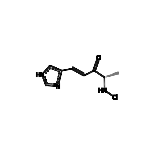 C[C@H](NCl)C(=O)/C=C/c1c[nH]cn1